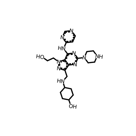 OCCn1nc(CNC2CCC(O)CC2)c2nc(N3CCNCC3)nc(Nc3ccncn3)c21